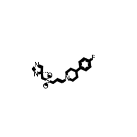 C[C@@]1(CS(=O)(=O)CC=CN2CCC(c3ccc(F)cc3)CC2)C=NC=N1